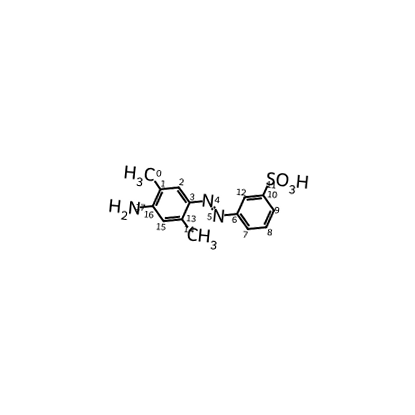 Cc1cc(N=Nc2cccc(S(=O)(=O)O)c2)c(C)cc1N